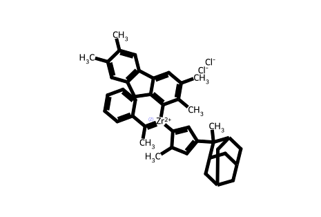 C/[C](c1ccccc1)=[Zr+2](\[C]1=CC(C2(C)C3CC4CC(C3)CC2C4)=CC1C)[c]1c(C)c(C)cc2c1Cc1cc(C)c(C)cc1-2.[Cl-].[Cl-]